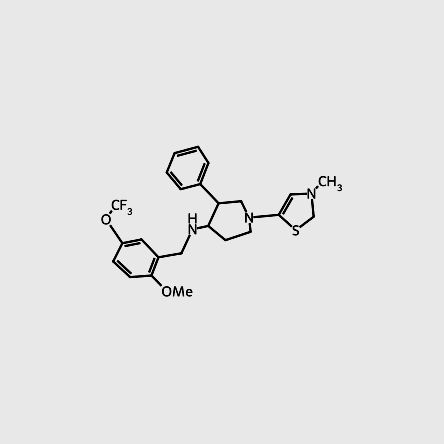 COc1ccc(OC(F)(F)F)cc1CNC1CCN(C2=CN(C)CS2)CC1c1ccccc1